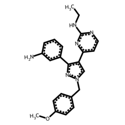 CCNc1nccc(-c2cn(Cc3ccc(OC)cc3)nc2-c2cccc(N)c2)n1